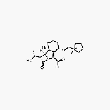 C[C@@H](O)[C@H]1C(=O)N2C(C(=O)[O-])=C3[C@@H](CC[N+]4(C)CCCC4)CCO[C@@H]3[C@H]12